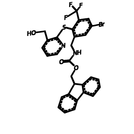 O=C(NCc1cc(Br)cc(C(F)(F)F)c1Sc1ncccc1CO)OCC1c2ccccc2-c2ccccc21